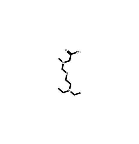 CCN(CC)CCSCN(C)CC(=O)O